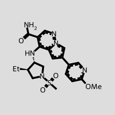 CC[C@@H]1CN(S(C)(=O)=O)C[C@H]1Nc1c(C(N)=O)cnn2cc(-c3ccc(OC)nc3)cc12